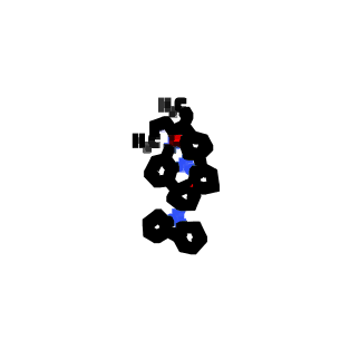 C=Cc1c(/C=C\C)oc2c1ccc1c3ccccc3n(-c3c(C#N)cccc3-c3cccc(-n4c5ccccc5c5ccccc54)c3)c12